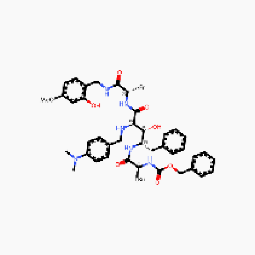 COc1ccc(CNC(=O)[C@@H](NC(=O)[C@H](NCc2ccc(N(C)C)cc2)[C@H](O)[C@H](Cc2ccccc2)NC(=O)[C@@H](NC(=O)OCc2ccccc2)C(C)(C)C)C(C)C)c(O)c1